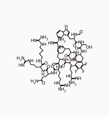 N=C(N)NCCCCNC(=O)C(CCCNC(=N)N)NC(=O)C(CCC(N)=O)NC(=O)C(CCCNC(=N)N)NC(=O)C(CCCNC(=N)N)NC(=O)C(CCCNC(=N)N)NC(=O)C(CC1CCCCC1)NC(=O)C(Cc1c(F)c(F)c(F)c(F)c1F)NC(=O)C(CO)NC(=O)C(CC1=CNC2C=CC=CC12)NC=O